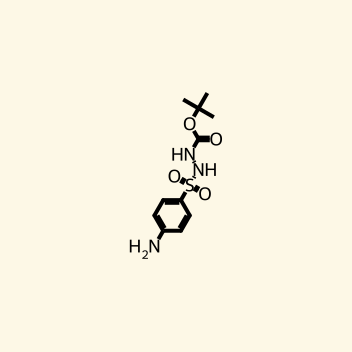 CC(C)(C)OC(=O)NNS(=O)(=O)c1ccc(N)cc1